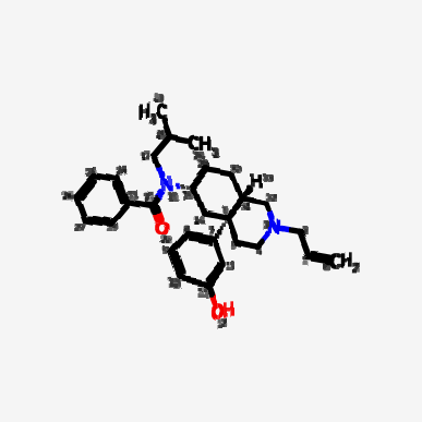 C=CCN1CC[C@@]2(c3cccc(O)c3)C[C@H](N(CC(C)C)C(=O)c3ccccc3)CC[C@@H]2C1